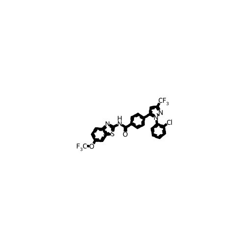 O=C(Nc1nc2ccc(OC(F)(F)F)cc2s1)c1ccc(-c2cc(C(F)(F)F)nn2-c2ccccc2Cl)cc1